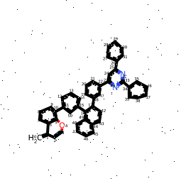 C=C1C=COc2c1cccc2-c1cccc(-c2c(-c3cccc(-c4cc(-c5ccccc5)nc(-c5ccccc5)n4)c3)ccc3ccccc23)c1